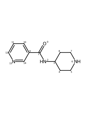 O=C(NC1CCNCC1)c1cccnc1